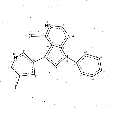 O=c1[nH]cnc2c1c(-c1cncc(F)c1)cn2-c1ccccc1